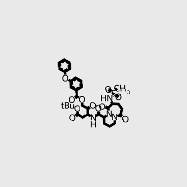 CC(C)(C)OC(=O)CC(NC(=O)C1CCCN2C(=O)CCC(NS(C)(=O)=O)C(=O)N12)C(=O)COC(=O)c1cccc(Oc2ccccc2)c1